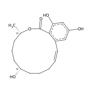 C[C@H]1CCC[C@@H](O)CCCC=Cc2cc(O)cc(O)c2C(=O)O1